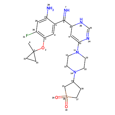 CC1(Oc2cc(C(=N)C3C=C(N4CCN(C5CCS(=O)(=O)C5)CC4)N=CN3)c(N)cc2F)CC1